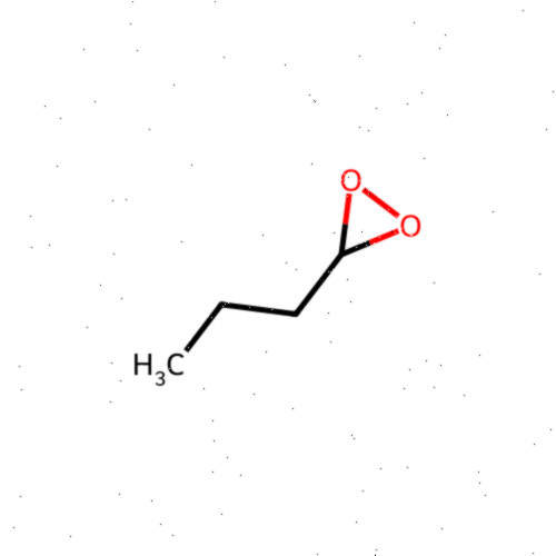 CCCC1OO1